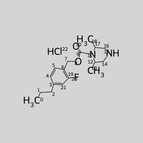 CCCc1ccc(COC(=O)N2C(C)CNCC2C)c(F)c1.Cl